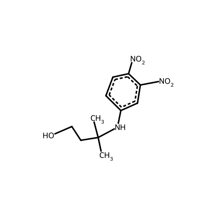 CC(C)(CCO)Nc1ccc([N+](=O)[O-])c([N+](=O)[O-])c1